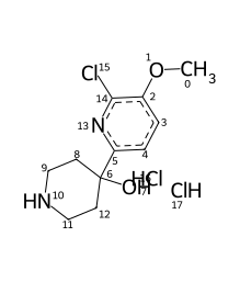 COc1ccc(C2(O)CCNCC2)nc1Cl.Cl.Cl